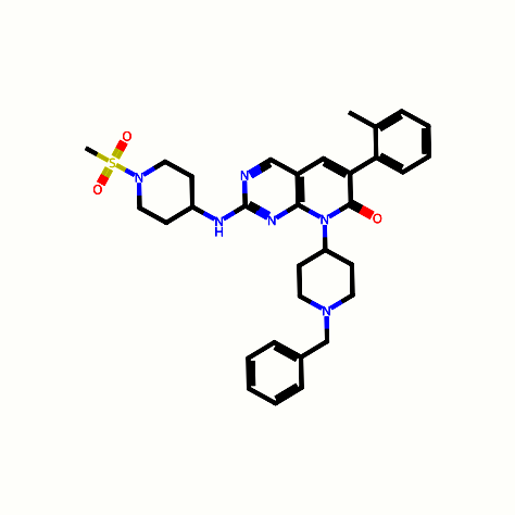 Cc1ccccc1-c1cc2cnc(NC3CCN(S(C)(=O)=O)CC3)nc2n(C2CCN(Cc3ccccc3)CC2)c1=O